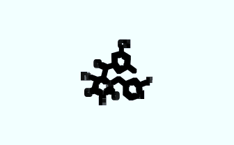 CCc1c(C(=O)c2cc(C)cc(C#N)c2)n(Cc2ccnc(F)c2)c(=O)[nH]c1=O